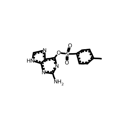 Cc1ccc(S(=O)(=O)Oc2nc(N)nc3[nH]cnc23)cc1